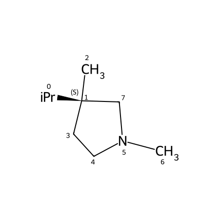 CC(C)[C@]1(C)CCN(C)C1